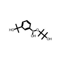 CC(C)(O)c1cccc(B(O)OC(C)(C)C(C)(C)O)c1